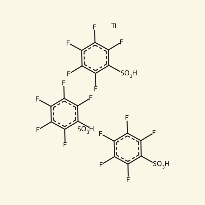 O=S(=O)(O)c1c(F)c(F)c(F)c(F)c1F.O=S(=O)(O)c1c(F)c(F)c(F)c(F)c1F.O=S(=O)(O)c1c(F)c(F)c(F)c(F)c1F.[Ti]